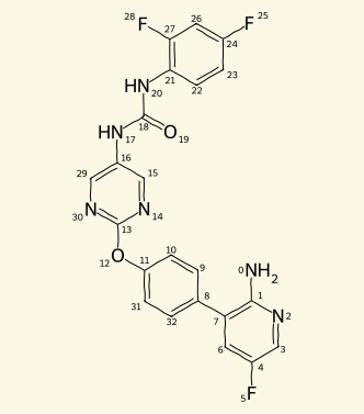 Nc1ncc(F)cc1-c1ccc(Oc2ncc(NC(=O)Nc3ccc(F)cc3F)cn2)cc1